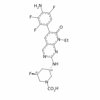 CCn1c(=O)c(-c2cc(F)c(N)c(F)c2F)cc2cnc(N[C@H]3C[C@H](F)CN(C(=O)O)C3)nc21